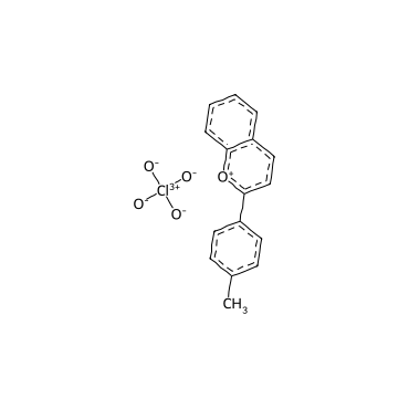 Cc1ccc(-c2ccc3ccccc3[o+]2)cc1.[O-][Cl+3]([O-])([O-])[O-]